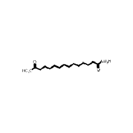 O=C(O)C(=O)CCCCCCCCCCCCC(=O)C(=O)O